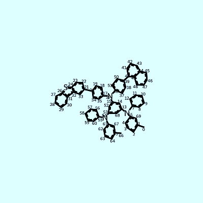 Cc1cccc(N(c2ccccc2)c2cc(N(c3ccc(-c4ccc5sc6ccccc6c5c4)cc3)c3ccc(-c4cccc5ccccc45)cc3)cc(N(c3ccccc3)c3cccc(C)c3)c2)c1